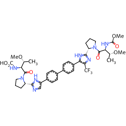 COC(=O)N[C@H](C(=O)N1CCC[C@H]1c1nc(C(F)(F)F)c(-c2ccc(-c3ccc(-c4cnc([C@@H]5CCCN5C(=O)[C@@H](NC(=O)O)[C@@H](C)OC)[nH]4)cc3)cc2)[nH]1)[C@@H](C)OC